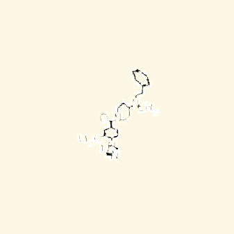 Cc1cc(C(=O)N2CCC(N(C)CCc3ccccc3)CC2)ccc1-n1cncn1